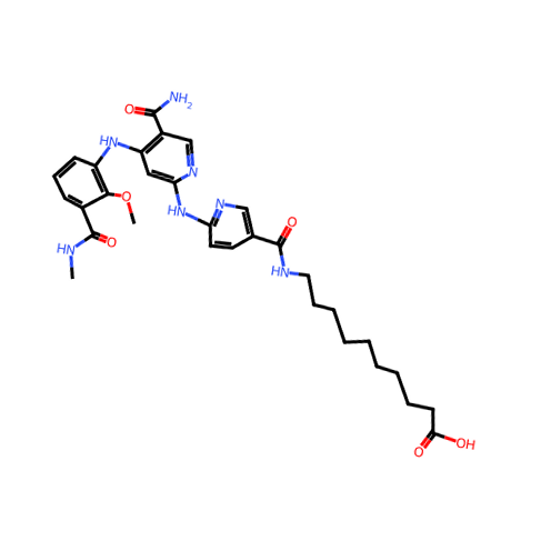 CNC(=O)c1cccc(Nc2cc(Nc3ccc(C(=O)NCCCCCCCCCC(=O)O)cn3)ncc2C(N)=O)c1OC